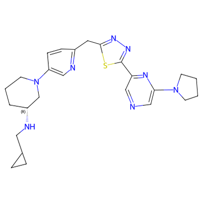 c1cc(Cc2nnc(-c3cncc(N4CCCC4)n3)s2)ncc1N1CCC[C@@H](NCC2CC2)C1